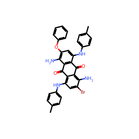 Cc1ccc(Nc2cc(Br)c(N)c3c2C(=O)c2c(N)c(Oc4ccccc4)cc(Nc4ccc(C)cc4)c2C3=O)cc1